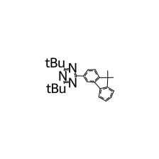 CC(C)(C)c1nc(-c2ccc3c(c2)-c2ccccc2C3(C)C)nc(C(C)(C)C)n1